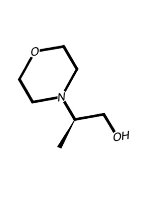 C[C@H](CO)N1CCOCC1